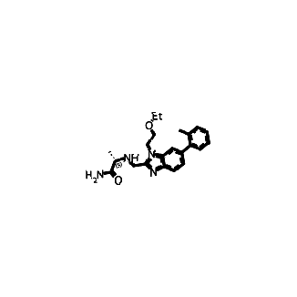 CCOCCn1c(CN[C@@H](C)C(N)=O)nc2ccc(-c3ccccc3C)cc21